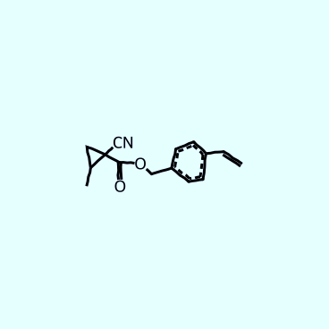 C=Cc1ccc(COC(=O)C2(C#N)CC2C)cc1